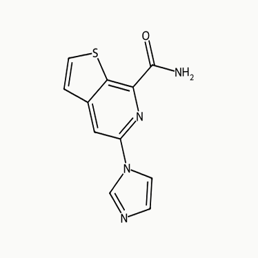 NC(=O)c1nc(-n2ccnc2)cc2ccsc12